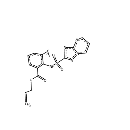 C=CCOC(=O)c1cccc(C)c1NS(=O)(=O)c1nc2ncccn2n1